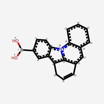 OB(O)c1ccc2c(c1)c1c3c(cc4ccccc4n32)C=CC1